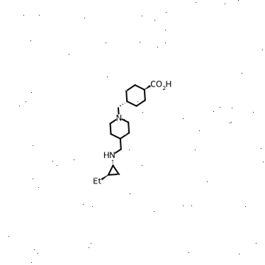 CC[C@@H]1C[C@H]1NCC1CCN(C[C@H]2CC[C@H](C(=O)O)CC2)CC1